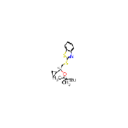 CC(C)(C)[Si](C)(C)O[C@H](CSc1nc2ccccc2s1)C1CC1